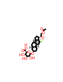 CC(=O)OCC(=O)[C@H]1CC[C@H]2[C@@H]3CC[C@@H]4C[C@H](OC5O[C@H](C(=O)O)[C@@H](O)[C@H](O)[C@H]5O)CC[C@@H]4[C@H]3C[C@H](F)[C@]12C